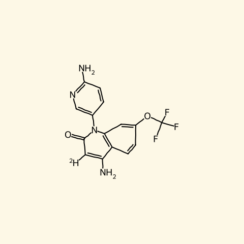 [2H]c1c(N)c2ccc(OC(F)(F)F)cc2n(-c2ccc(N)nc2)c1=O